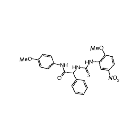 COc1ccc(NC(=O)C(NC(=S)Nc2cc([N+](=O)[O-])ccc2OC)c2ccccc2)cc1